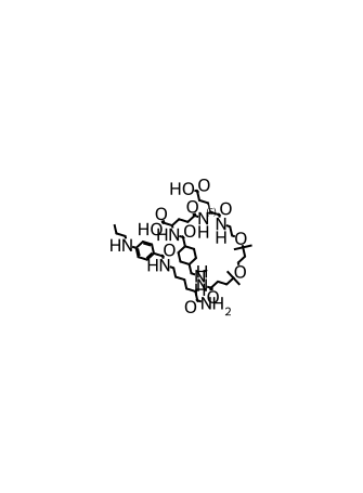 CCCNc1ccc(C(=O)NCCCCC(NC(=O)CCC(C)(C)OCCC(C)(C)OCCNC(=O)[C@H](CCC(=O)O)NC(=O)CCC(NC(=O)C2CCC(CNC)CC2)C(=O)O)C(N)=O)cc1